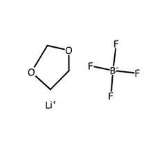 C1COCO1.F[B-](F)(F)F.[Li+]